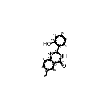 Cc1ccc2nc(-c3ccccc3O)[nH]c(=O)c2c1